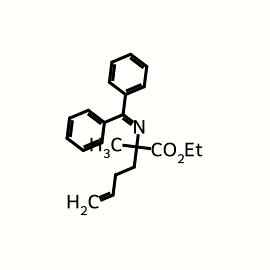 C=CCCC(C)(N=C(c1ccccc1)c1ccccc1)C(=O)OCC